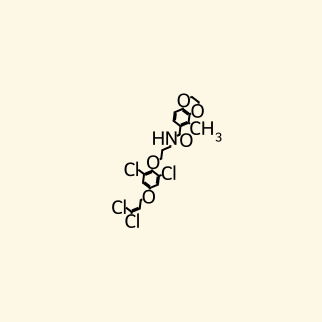 Cc1c(C(=O)NCCCOc2c(Cl)cc(OCC=C(Cl)Cl)cc2Cl)ccc2c1OCCO2